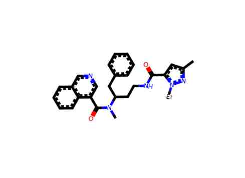 CCn1nc(C)cc1C(=O)NCCC(Cc1ccccc1)N(C)C(=O)c1cncc2ccccc12